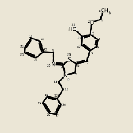 CCOc1ccc(/C=C2/CN(CCc3ccccc3)/C(=N/Cc3ccccc3)S2)cc1O